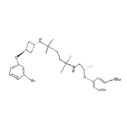 C[C@@H](CNC(C)(C)CCC(C)(C)N[C@H]1C[C@H](Oc2cccc(C(C)(C)C)c2)C1)Oc1cccc(C(C)(C)C)c1